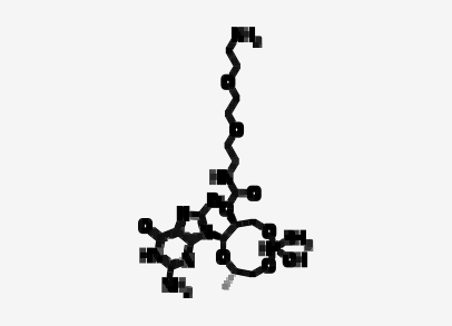 B[PH]1(O)OC[C@H](OC(=O)NCCOCCOCCN)[C@H](n2c(Br)nc3c(=O)[nH]c(N)nc32)O[C@@H](C)CO1